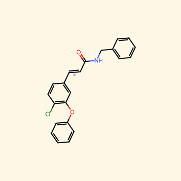 O=C(/C=C/c1ccc(Cl)c(Oc2ccccc2)c1)NCc1ccccc1